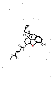 COC(=O)/C=C/C(=O)N[C@H]1CCC2(O)[C@H]3Cc4ccc(O)c5c4[C@@]2(CCN3CC2CC2)[C@H]1O5